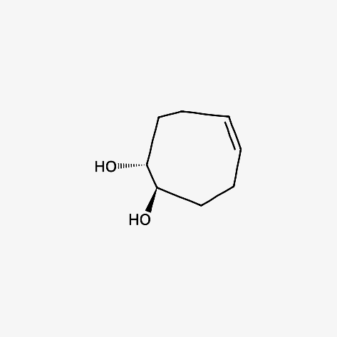 O[C@@H]1CC/C=C\CC[C@H]1O